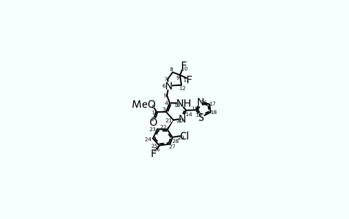 COC(=O)C1=C(CN2CCC(F)(F)C2)NC(c2nccs2)=N[C@H]1c1ccc(F)cc1Cl